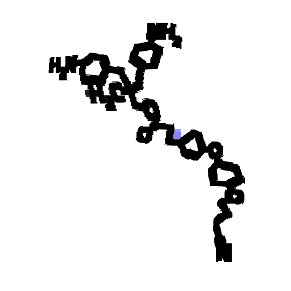 [CH2]C(COC(=O)/C=C/c1ccc(Oc2ccc(OCCCC#N)cc2)cc1)(Cc1ccc(N)cc1)Cc1ccc(N)cc1